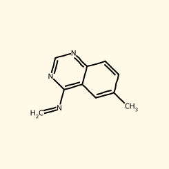 C=Nc1ncnc2ccc(C)cc12